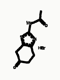 Br.CC(=O)Nc1nc2c(s1)CC(=O)CC2